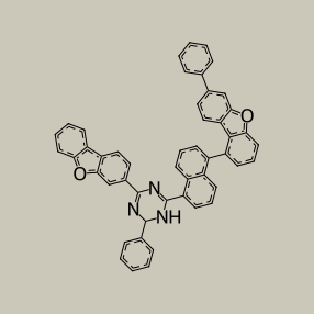 c1ccc(-c2ccc3c(c2)oc2cccc(-c4cccc5c(C6=NC(c7ccc8c(c7)oc7ccccc78)=NC(c7ccccc7)N6)cccc45)c23)cc1